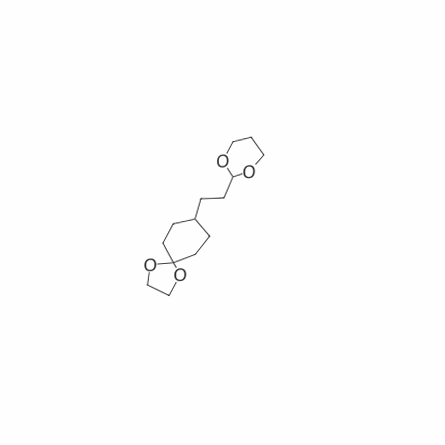 C1COC(CCC2CCC3(CC2)OCCO3)OC1